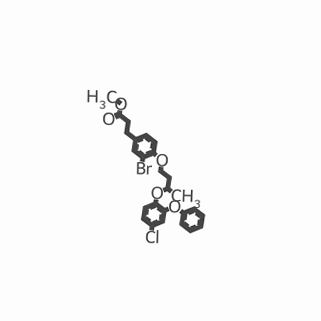 COC(=O)CCc1ccc(OCCC(C)Oc2ccc(Cl)cc2Oc2ccccc2)c(Br)c1